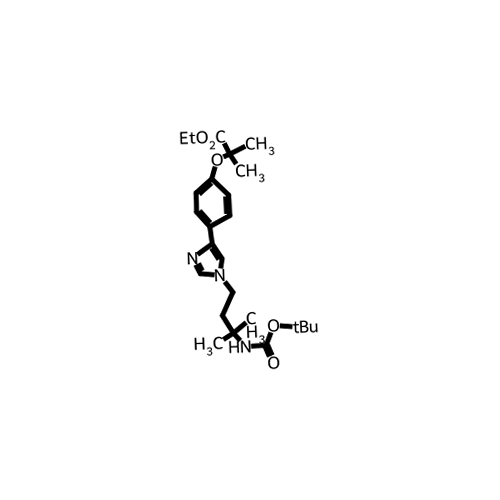 CCOC(=O)C(C)(C)Oc1ccc(-c2cn(CCC(C)(C)NC(=O)OC(C)(C)C)cn2)cc1